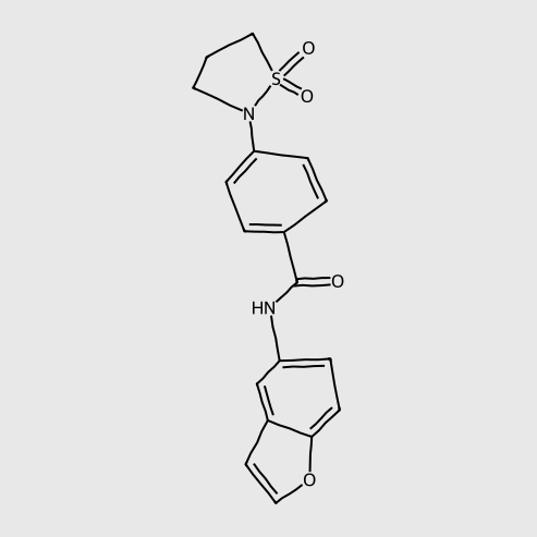 O=C(Nc1ccc2occc2c1)c1ccc(N2CCCS2(=O)=O)cc1